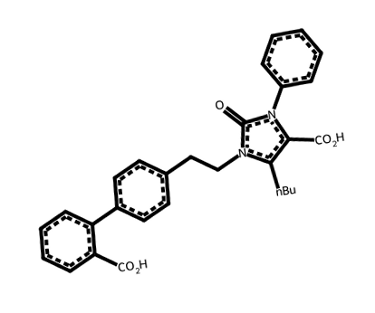 CCCCc1c(C(=O)O)n(-c2ccccc2)c(=O)n1CCc1ccc(-c2ccccc2C(=O)O)cc1